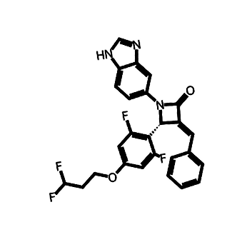 O=C1/C(=C/c2ccccc2)[C@H](c2c(F)cc(OCCC(F)F)cc2F)N1c1ccc2[nH]cnc2c1